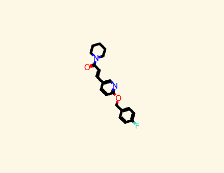 O=C(/C=C/c1ccc(OCc2ccc(F)cc2)nc1)N1CCCCC1